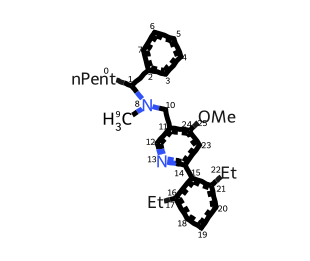 CCCCCC(c1ccccc1)N(C)Cc1cnc(-c2c(CC)cccc2CC)cc1OC